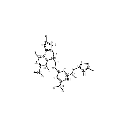 Cc1ccc(CN(C)C2=NC(CCN(Cc3ccc(C)[nH]3)C3=NC(C)N=C(N(C)C)N3C)N=C(N(C)C)N2)[nH]1